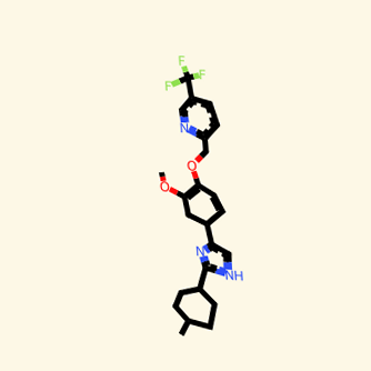 COC1=C(OCc2ccc(C(F)(F)F)cn2)C=CC(c2c[nH]c(C3CCC(C)CC3)n2)C1